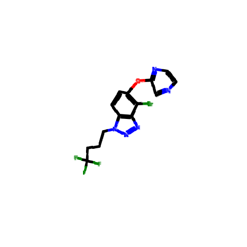 FC(F)(F)CCCn1nnc2c(Br)c(Oc3cnccn3)ccc21